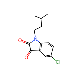 CC(C)CCN1C(=O)C(=O)c2cc(Cl)ccc21